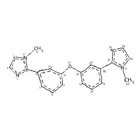 Cn1ccnc1-c1cccc(Oc2cccc(-c3nccn3C)c2)c1